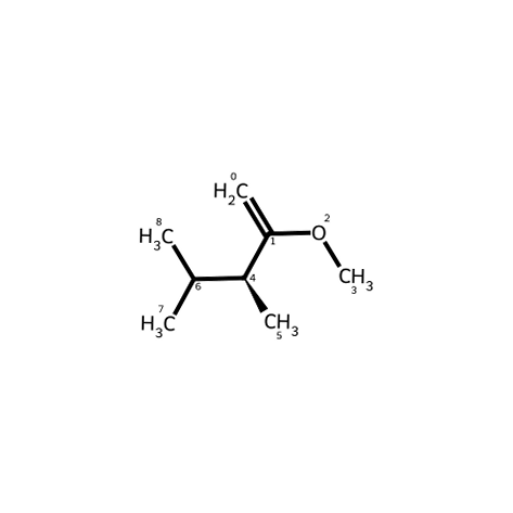 C=C(OC)[C@@H](C)C(C)C